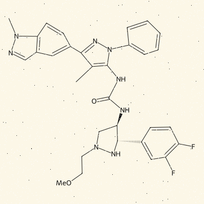 COCCN1C[C@@H](NC(=O)Nc2c(C)c(-c3ccc4c(cnn4C)c3)nn2-c2ccccc2)[C@H](c2ccc(F)c(F)c2)N1